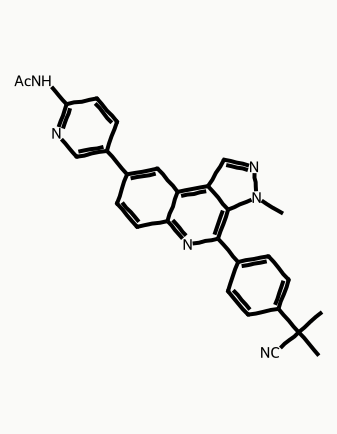 CC(=O)Nc1ccc(-c2ccc3nc(-c4ccc(C(C)(C)C#N)cc4)c4c(cnn4C)c3c2)cn1